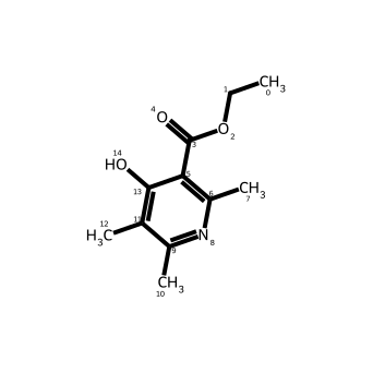 CCOC(=O)c1c(C)nc(C)c(C)c1O